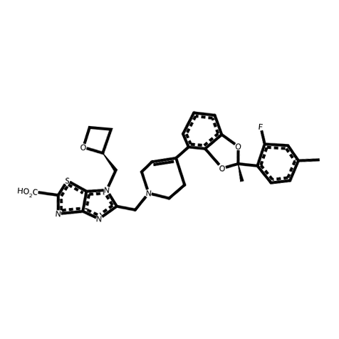 Cc1ccc([C@@]2(C)Oc3cccc(C4=CCN(Cc5nc6nc(C(=O)O)sc6n5C[C@@H]5CCO5)CC4)c3O2)c(F)c1